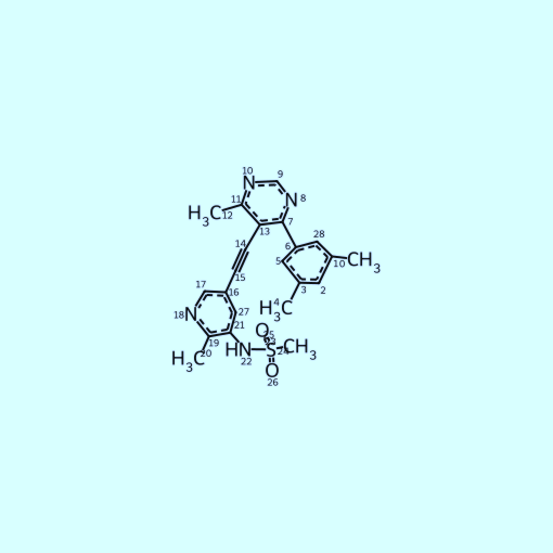 Cc1cc(C)cc(-c2ncnc(C)c2C#Cc2cnc(C)c(NS(C)(=O)=O)c2)c1